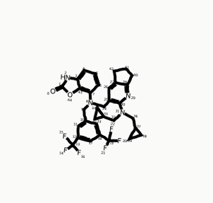 O=c1[nH]c2cccc(N(Cc3cc(C(F)(F)F)cc(C(F)(F)F)c3)Cc3cc4c(nc3N(CC3CC3)CC3CC3)CCC4)c2o1